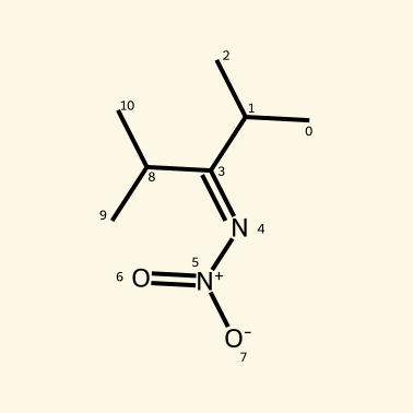 CC(C)C(=N[N+](=O)[O-])C(C)C